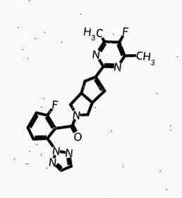 Cc1nc(C2=CC3CN(C(=O)c4c(F)cccc4-n4nccn4)CC3C2)nc(C)c1F